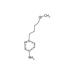 COCCCCc1ccc(N)cc1